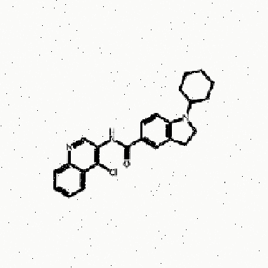 O=C(Nc1cnc2ccccc2c1Cl)c1ccc2c(c1)CCN2C1CCCCC1